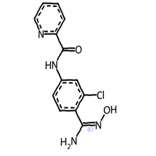 N/C(=N/O)c1ccc(NC(=O)c2ccccn2)cc1Cl